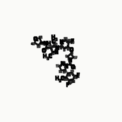 Cc1nn(-c2cc(OC3CN(C(=O)N4N=CC[C@H]4C4C=C(F)C=C(F)C4C)C3)c(F)cn2)c(C)c1C(=O)N[C@H]1CCOC1